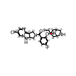 O=C(c1ccc(F)cc1O[C@@H]1CC2CNC(C1)N2CCF)N1CC2=C3N=CC(Cl)=CN3NC2C1